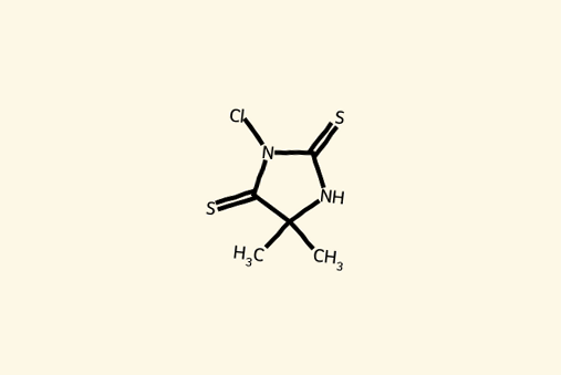 CC1(C)NC(=S)N(Cl)C1=S